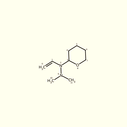 C=CN(C1CCCCO1)N(C)C